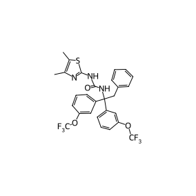 Cc1nc(NC(=O)NC(Cc2ccccc2)(c2cccc(OC(F)(F)F)c2)c2cccc(OC(F)(F)F)c2)sc1C